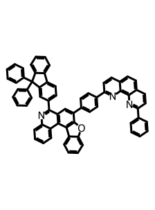 c1ccc(-c2ccc3ccc4ccc(-c5ccc(-c6cc7c(-c8ccc9c(c8)C(c8ccccc8)(c8ccccc8)c8ccccc8-9)nc8ccccc8c7c7c6oc6ccccc67)cc5)nc4c3n2)cc1